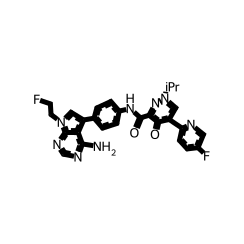 CC(C)n1cc(-c2ccc(F)cn2)c(=O)c(C(=O)Nc2ccc(-c3cn(CCF)c4ncnc(N)c34)cc2)n1